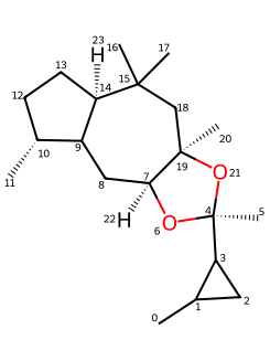 CC1CC1[C@@]1(C)O[C@H]2CC3[C@H](C)CC[C@H]3C(C)(C)C[C@@]2(C)O1